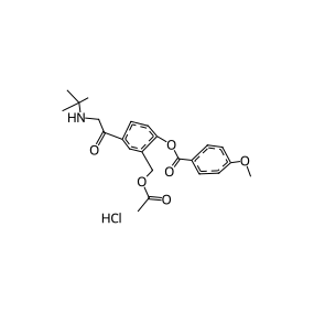 COc1ccc(C(=O)Oc2ccc(C(=O)CNC(C)(C)C)cc2COC(C)=O)cc1.Cl